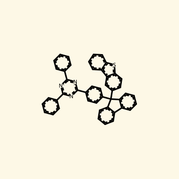 c1ccc(-c2nc(-c3ccccc3)nc(-c3ccc(C4(c5ccc6sc7ccccc7c6c5)c5ccccc5-c5ccccc54)cc3)n2)cc1